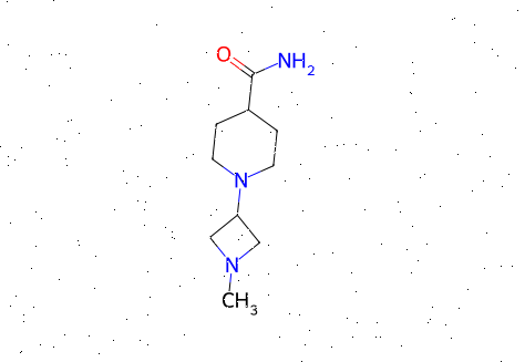 CN1CC(N2CCC(C(N)=O)CC2)C1